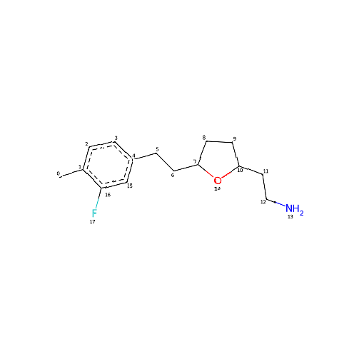 Cc1ccc(CCC2CCC(CCN)O2)cc1F